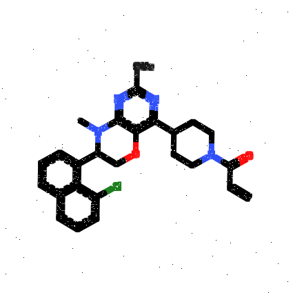 C=CC(=O)N1CCC(c2nc(OC)nc3c2OCC(c2cccc4cccc(Cl)c24)N3C)CC1